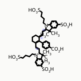 CC1(C)C(/C=C/C2=C(c3ccc(C(=O)O)cc3)C(=C/C=C3/N(CCCCS(=O)(=O)O)c4ccc(S(=O)(=O)O)cc4C3(C)C)/CCC2)=[N+](CCCCS(=O)(=O)O)c2ccc(S(=O)(=O)O)cc21